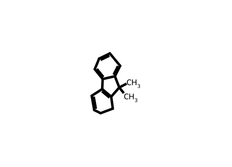 CC1(C)C2=C(C=CCC2)c2ccccc21